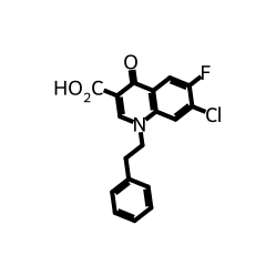 O=C(O)c1cn(CCc2ccccc2)c2cc(Cl)c(F)cc2c1=O